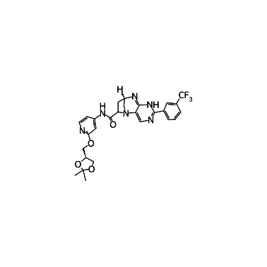 CC1(C)OC[C@H](COc2cc(NC(=O)C3C[C@H]4CN3C3=CN=C(c5cccc(C(F)(F)F)c5)NC3=N4)ccn2)O1